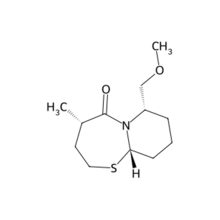 COC[C@@H]1CCC[C@@H]2SCC[C@H](C)C(=O)N12